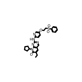 CCc1cc2cnc(Nc3ccc(OCCS(=O)(=O)c4ccccc4)cn3)nc2n(C2CCCC2)c1=O